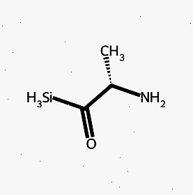 C[C@H](N)C(=O)[SiH3]